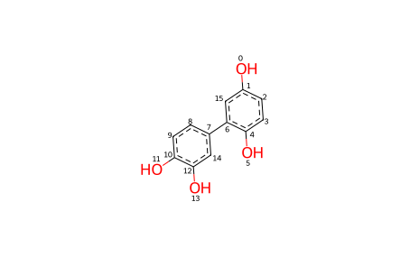 Oc1ccc(O)c(-c2ccc(O)c(O)c2)c1